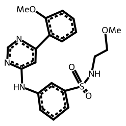 COCCNS(=O)(=O)c1cccc(Nc2cc(-c3ccccc3OC)ncn2)c1